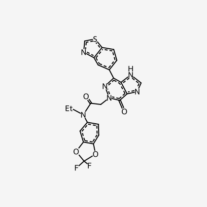 CCN(C(=O)Cn1nc(-c2ccc3scnc3c2)c2[nH]cnc2c1=O)c1ccc2c(c1)OC(F)(F)O2